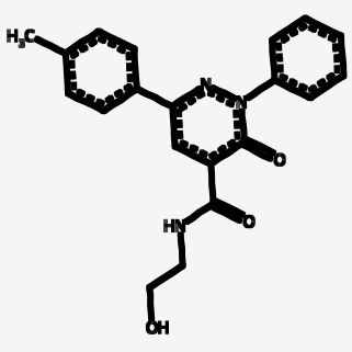 Cc1ccc(-c2cc(C(=O)NCCO)c(=O)n(-c3ccccc3)n2)cc1